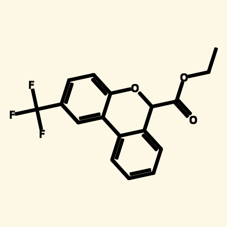 CCOC(=O)C1Oc2ccc(C(F)(F)F)cc2-c2ccccc21